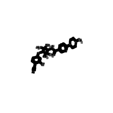 CN1CCN(c2ccc(C(=O)NC3C(C)(C)C(Oc4ccc(C#N)c(Cl)c4)C3(C)C)cn2)CC1